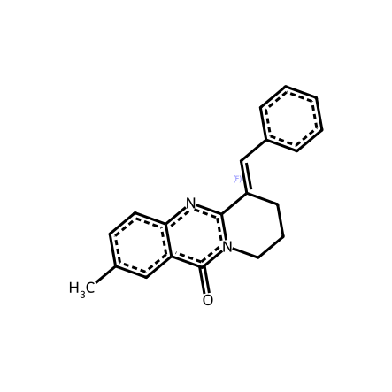 Cc1ccc2nc3n(c(=O)c2c1)CCC/C3=C\c1ccccc1